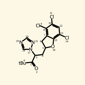 CC(C)(C)C(=O)C(CC1Cc2c(Cl)c(Cl)cc(Cl)c2O1)n1cncn1